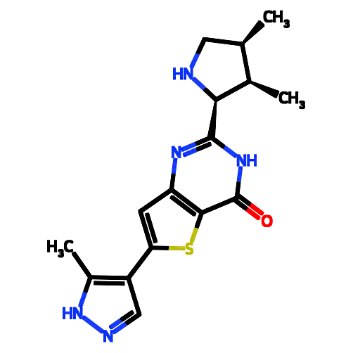 Cc1[nH]ncc1-c1cc2nc([C@H]3NC[C@@H](C)[C@H]3C)[nH]c(=O)c2s1